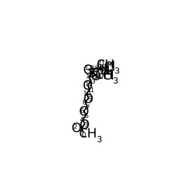 CC(=O)OCCOCCOCCOCCS(=O)(=O)CC(C)(C)N(Cl)Cl